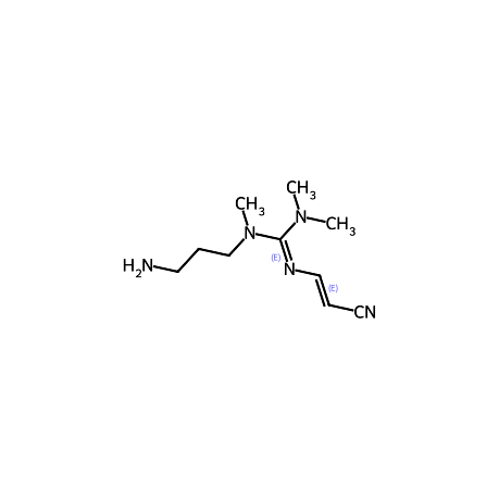 CN(C)/C(=N\C=C\C#N)N(C)CCCN